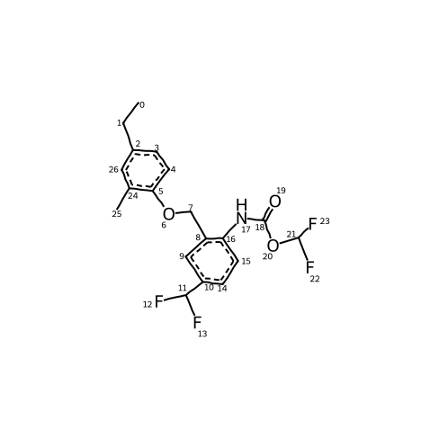 CCc1ccc(OCc2cc(C(F)F)ccc2NC(=O)OC(F)F)c(C)c1